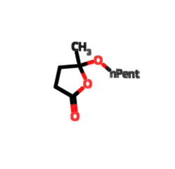 CCCCCOC1(C)CCC(=O)O1